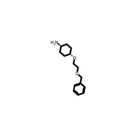 N[C@H]1CC[C@H](OCCOCc2ccccc2)CC1